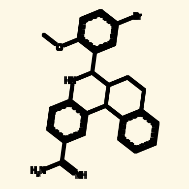 COc1ccc(Br)cc1C1Nc2ccc(C(=N)N)cc2C2c3ccccc3CCC12